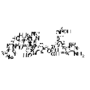 CP(=O)(O)CCC1CC(OP(=O)(O)OCC2CC(OP(=O)(O)OCC3OC(n4cnc5c(N)ncnc54)C(O)C3O)C(n3cnc4c(N)ncnc43)O2)C(n2cnc3c(N)ncnc32)O1